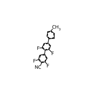 Cc1ccc(-c2cc(F)c(-c3cc(F)c(C#N)c(F)c3)c(F)c2)cc1